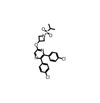 CC(C)S(=O)(=O)N1CC(Oc2cnc(-c3ccc(Cl)cc3)c(-c3ccc(Cl)cc3)n2)C1